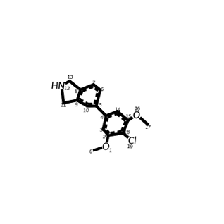 COc1cc(-c2ccc3c(c2)CNC3)cc(OC)c1Cl